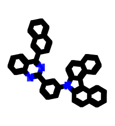 c1cc(-c2nc(-c3ccc4ccccc4c3)c3ccccc3n2)cc(-n2c3ccc4ccccc4c3c3c4ccccc4ccc32)c1